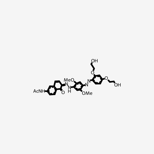 COc1cc(N/N=C2/C=Cc3cc(NC(C)=O)ccc3C2=O)c(OC)cc1/N=N/c1ccc(OCCO)cc1OCCO